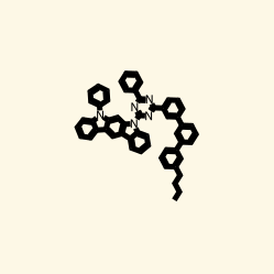 CCCCc1cccc(-c2cccc(-c3cccc(-c4nc(-c5ccccc5)nc(-n5c6ccccc6c6cc7c8ccccc8n(-c8ccccc8)c7cc65)n4)c3)c2)c1